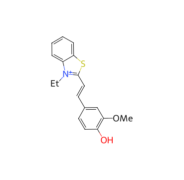 CC[n+]1c(C=Cc2ccc(O)c(OC)c2)sc2ccccc21